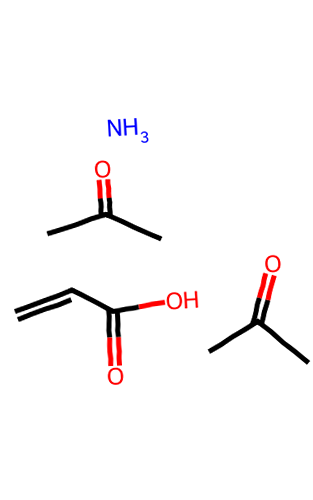 C=CC(=O)O.CC(C)=O.CC(C)=O.N